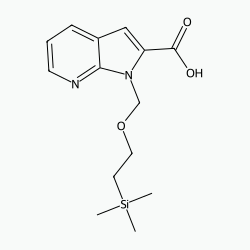 C[Si](C)(C)CCOCn1c(C(=O)O)cc2cccnc21